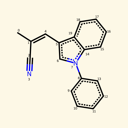 C/C(C#N)=C/c1cn(-c2ccccc2)c2ccccc12